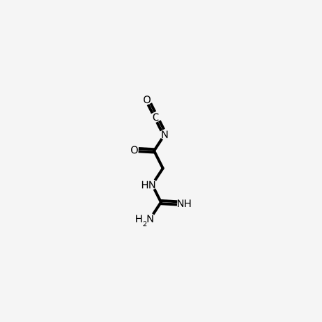 N=C(N)NCC(=O)N=C=O